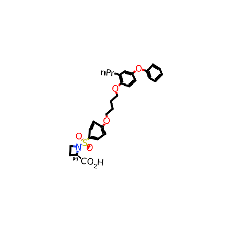 CCCc1cc(Oc2ccccc2)ccc1OCCCCOc1ccc(S(=O)(=O)N2CC[C@@H]2C(=O)O)cc1